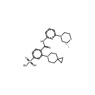 C[C@@H]1CN(c2cccc(NC(=O)c3ccc(S(=N)(=O)C(C)(C)C)cc3N3CCC4(CC3)CC4)n2)CCO1